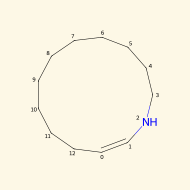 C1=C\NCCCCCCCCCC/1